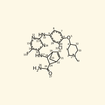 CN1CCC(Oc2ccc(Nc3ncc(F)c(NC4C5C=CC(C5)C4C(N)=O)n3)cc2Cl)CC1